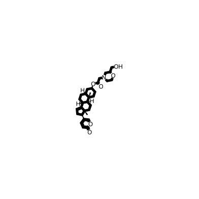 C[C@]12CC[C@H](OC(=O)CN3CCOC(CO)C3)C[C@H]1CC[C@H]1C3=CC[C@H](c4ccc(=O)oc4)[C@@]3(C)CC[C@@H]12